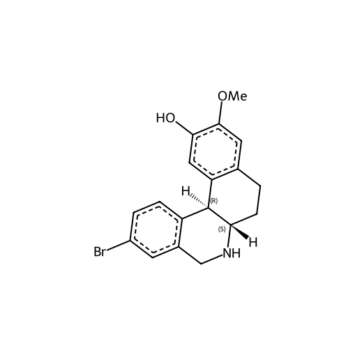 COc1cc2c(cc1O)[C@@H]1c3ccc(Br)cc3CN[C@H]1CC2